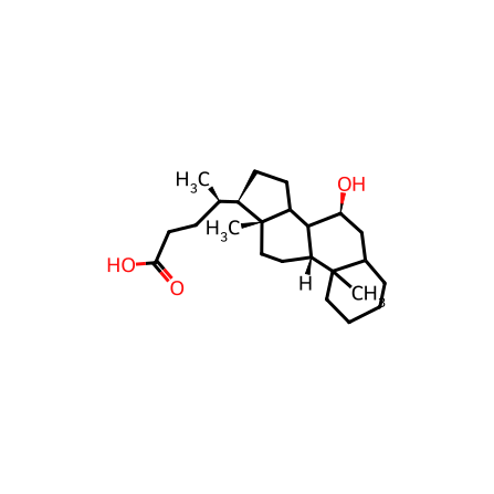 C[C@H](CCC(=O)O)[C@H]1CCC2C3[C@@H](CC[C@@]21C)C1(C)CCCCC1C[C@@H]3O